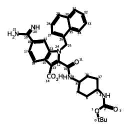 CC(C)(C)OC(=O)NC1CCC(NC(=O)c2c(C(=O)O)c3ccc(C(=N)N)cc3n2Cc2cccc3ccccc23)CC1